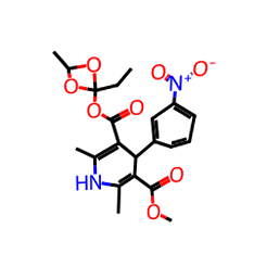 CCC1(OC(=O)C2=C(C)NC(C)=C(C(=O)OC)C2c2cccc([N+](=O)[O-])c2)OC(C)O1